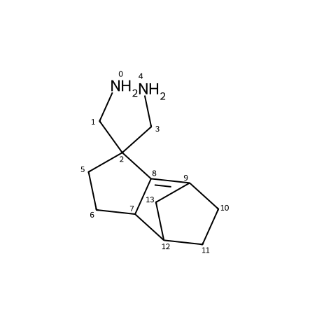 NCC1(CN)CCC2C1=C1CCC2C1